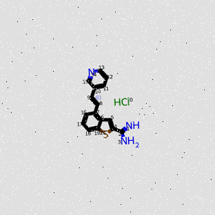 Cl.N=C(N)c1cc2c(/C=C/c3cccnc3)cccc2s1